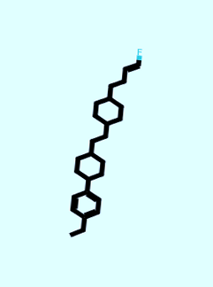 CCc1ccc(C2CCC(CCC3CCC(CCC=CF)CC3)CC2)cc1